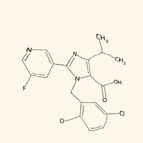 CC(C)c1nc(-c2cncc(F)c2)n(Cc2cc(Cl)ccc2Cl)c1C(=O)O